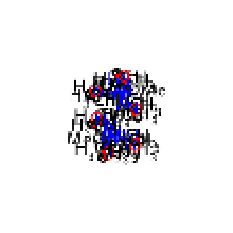 CCCC(Nc1nc(N(CCCCCCN(c2nc(NC(CCC)C3CC(C)(C)N(OC4CCCCC4)C(C)(C)C3)nc(N(COC)C3CC(C)(C)N(OC4CCCCC4)C(C)(C)C3)n2)C2CC(C)(C)N(OC3CCCCC3)C(C)(C)C2)C2CC(C)(C)N(OC3CCCCC3)C(C)(C)C2)nc(N(COC)C2CC(C)(C)N(OC3CCCCC3)C(C)(C)C2)n1)C1CC(C)(C)N(OC2CCCCC2)C(C)(C)C1